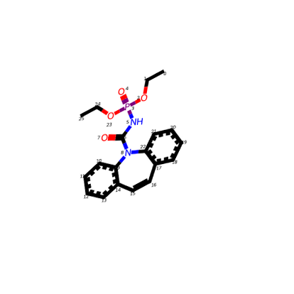 CCOP(=O)(NC(=O)N1c2ccccc2C=Cc2ccccc21)OCC